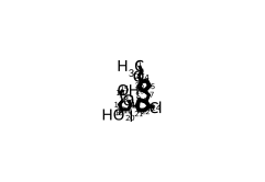 CCOc1ccc(Cc2cc([C@@H]3O[C@H](CO)C[C@H](O)[C@H]3I)ccc2Cl)cc1